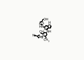 CCC1CC(Nc2nc(Nc3ncc(CO)s3)cc3[nH]ccc23)CC(CC)N1SN1CC(C#N)C1